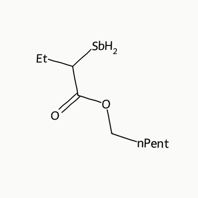 CCCCCCOC(=O)[CH]([SbH2])CC